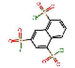 O=S(=O)(Cl)c1cc(S(=O)(=O)Cl)c2cccc(S(=O)(=O)Cl)c2c1